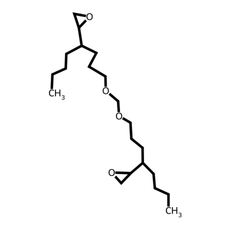 CCCCC(CCCOCOCCCC(CCCC)C1CO1)C1CO1